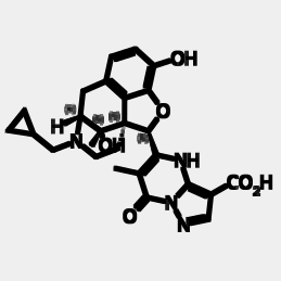 Cc1c([C@@H]2Oc3c(O)ccc4c3[C@@]23CCN(CC2CC2)[C@H](C4)[C@@]3(C)O)[nH]c2c(C(=O)O)cnn2c1=O